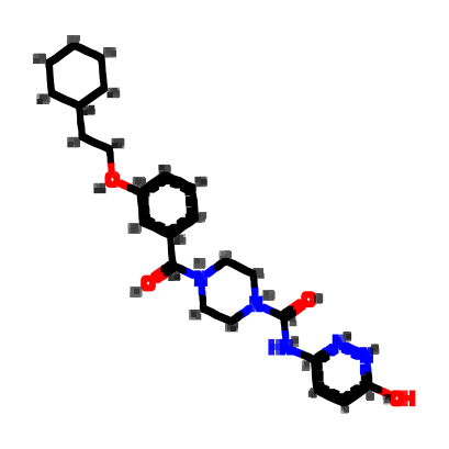 O=C(Nc1ccc(O)nn1)N1CCN(C(=O)c2cccc(OCCC3CCCCC3)c2)CC1